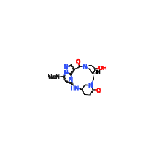 CNc1cc2nc3c(cnn13)C(=O)N1C[C@H](CN3CC(CCC3=O)N2)[C@H](O)C1